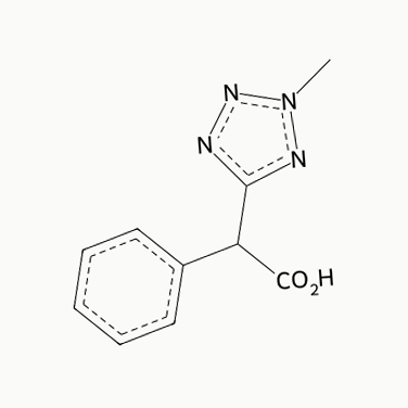 Cn1nnc(C(C(=O)O)c2ccccc2)n1